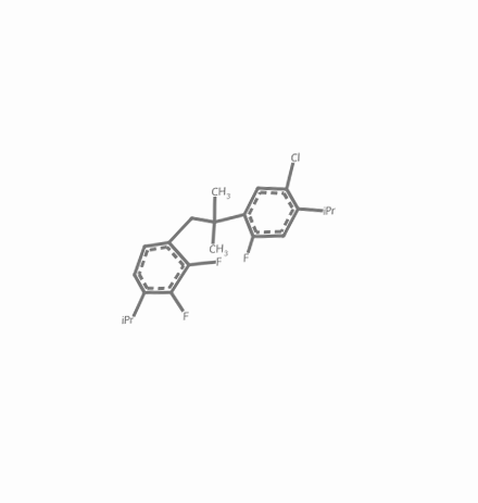 CC(C)c1cc(F)c(C(C)(C)Cc2ccc(C(C)C)c(F)c2F)cc1Cl